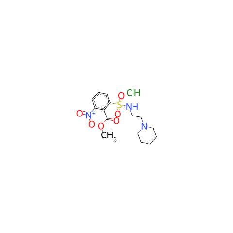 COC(=O)c1c([N+](=O)[O-])cccc1S(=O)(=O)NCCN1CCCCC1.Cl